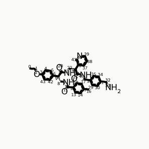 CCOc1ccc([C@@H](CNC(=O)c2ccc(C)cc2)C(=O)NC[C@H](C(=O)NCc2ccc(CN)cc2)c2cccnc2)cc1